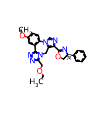 CCOCc1nnc2n1Cc1c(C3=N[C@@H](c4ccccc4)CO3)ncn1-c1ccc(OC)cc1-2